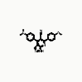 COc1ccc(-c2nc3[nH]ncc3c(-c3ccc(N(C)C)cc3)c2C#N)cc1